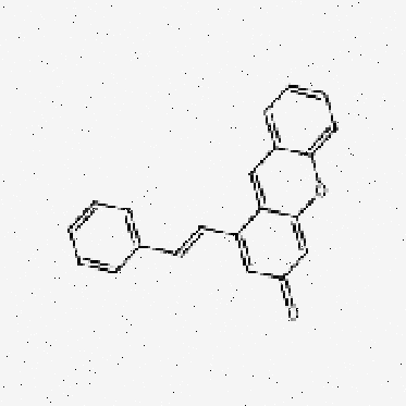 O=c1cc2oc3ccccc3cc-2c(C=Cc2ccccc2)c1